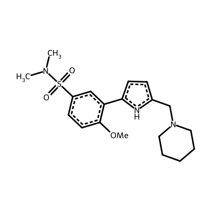 COc1ccc(S(=O)(=O)N(C)C)cc1-c1ccc(CN2CCCCC2)[nH]1